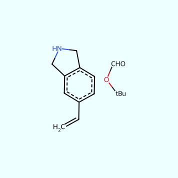 C=Cc1ccc2c(c1)CNC2.CC(C)(C)OC=O